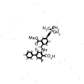 COC(=O)c1cc(C#C[Si](C)(C)C)ccc1CNc1c(F)c(-c2ccccc2)cc(F)c1C(=O)O